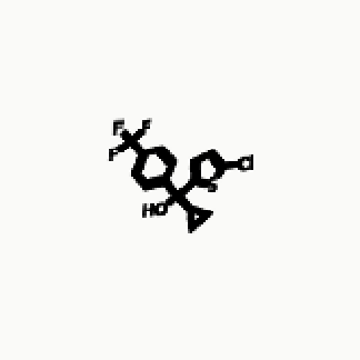 OC(c1ccc(C(F)(F)F)cc1)(c1ccc(Cl)s1)C1CC1